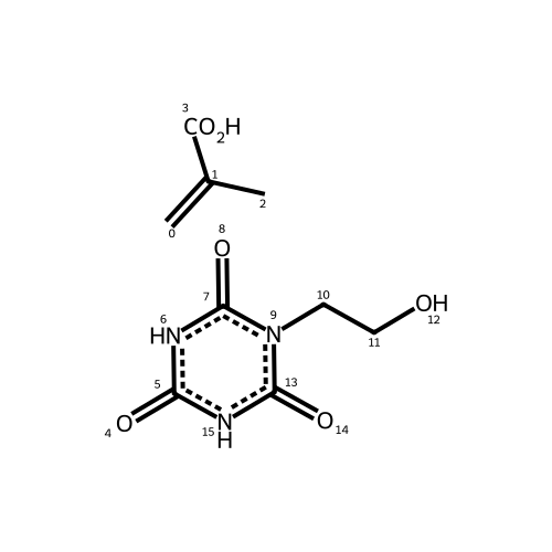 C=C(C)C(=O)O.O=c1[nH]c(=O)n(CCO)c(=O)[nH]1